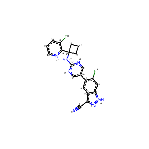 N#Cc1n[nH]c2cc(F)c(-c3cnc(NC4(c5ncccc5F)CCC4)nc3)cc12